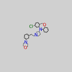 Clc1ccc2c(c1)N(C1CCN(CCc3cccc(N4CCOCC4)c3)C1)c1ccccc1OC2